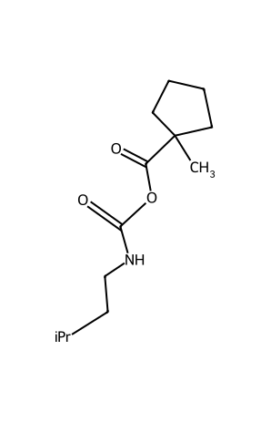 CC(C)CCNC(=O)OC(=O)C1(C)CCCC1